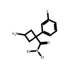 CCN(CC)C(=O)C1(c2cccc(F)c2)CC(N)C1